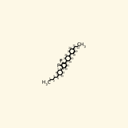 CCCCCC1CCC(c2ccc(C3CCC(C4C=CC(CCC)CC4)CC3)c(F)c2F)CC1